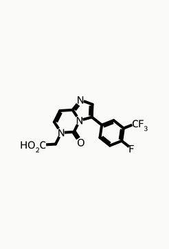 O=C(O)Cn1ccc2ncc(-c3ccc(F)c(C(F)(F)F)c3)n2c1=O